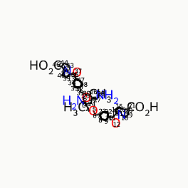 CC(CN)(COCc1ccc(C(=O)c2ccc3n2CC[C@@H]3C(=O)O)cc1)CC(C)(CN)OCCc1ccc(C(=O)c2ccc3n2CC[C@@H]3C(=O)O)cc1